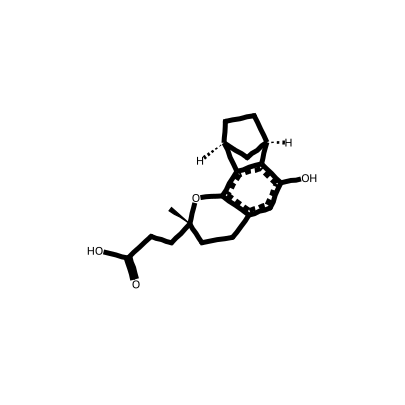 C[C@]1(CCC(=O)O)CCc2cc(O)c3c(c2O1)[C@H]1CC[C@@H]3C1